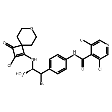 CCC(c1ccc(NC(=O)c2c(Cl)cncc2Cl)cc1)[C@H](NC1=C(Cl)C(=O)C12CCOCC2)C(=O)O